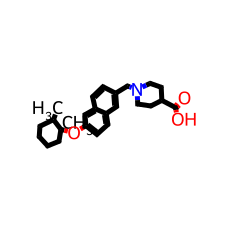 CC1CCCCC1(C)Oc1ccc2cc(CN3CCC(C(=O)O)CC3)ccc2c1